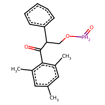 Cc1cc(C)c(C(=O)C(CO[PH2]=O)c2ccccc2)c(C)c1